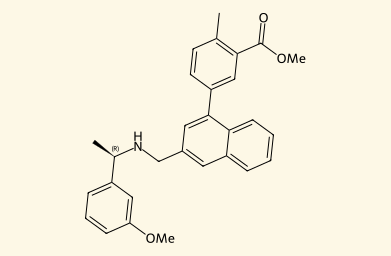 COC(=O)c1cc(-c2cc(CN[C@H](C)c3cccc(OC)c3)cc3ccccc23)ccc1C